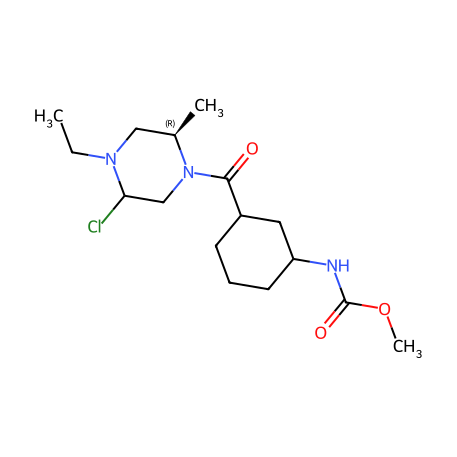 CCN1C[C@@H](C)N(C(=O)C2CCCC(NC(=O)OC)C2)CC1Cl